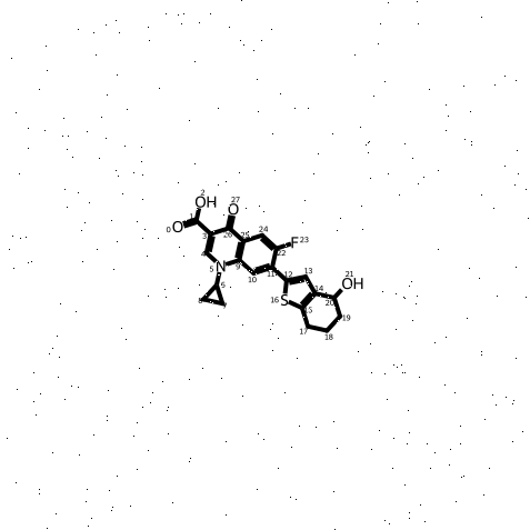 O=C(O)c1cn(C2CC2)c2cc(-c3cc4c(s3)CCCC4O)c(F)cc2c1=O